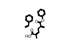 C=C(CC=C(C)C(=O)O)C(=O)Oc1ccccc1.C=Cc1ccccc1